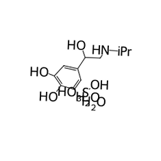 CC(C)NCC(O)c1ccc(O)c(O)c1.O.O.O=S(=O)(O)O